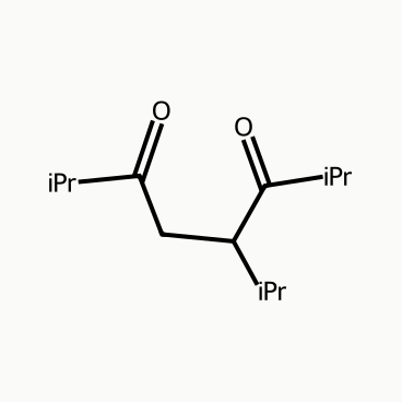 CC(C)C(=O)CC(C(=O)C(C)C)C(C)C